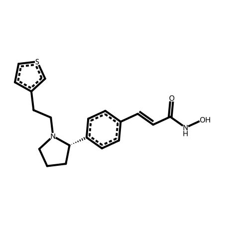 O=C(C=Cc1ccc([C@@H]2CCCN2CCc2ccsc2)cc1)NO